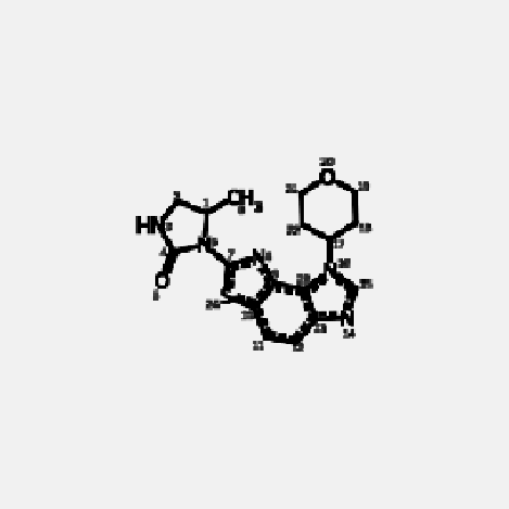 CC1CNC(=O)N1c1nc2c(ccc3ncn(C4CCOCC4)c32)s1